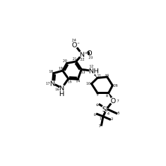 CC(C)(C)[Si](C)(C)O[C@H]1CC[C@H](Nc2cc3[nH]ncc3cc2[N+](=O)[O-])CC1